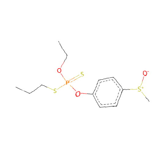 CCCSP(=S)(OCC)Oc1ccc([S+](C)[O-])cc1